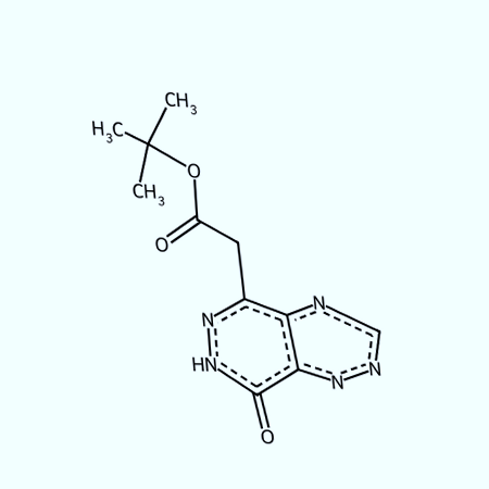 CC(C)(C)OC(=O)Cc1n[nH]c(=O)c2nncnc12